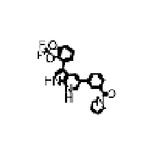 O=C(C1C=CC=C(C2=Cc3c(-c4cccc5c4OC(F)(F)O5)c[nH]c3NC2)C1)N1CCCC1